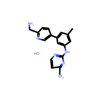 Cc1cc(Nc2nccc(C(F)(F)F)n2)cc(-c2ccc(CN)nc2)c1.Cl